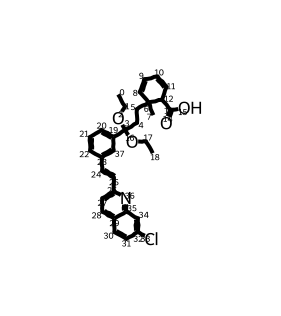 CCOC(CCC1(C)C=CC=CC1C(=O)O)(OCC)c1cccc(/C=C/c2ccc3ccc(Cl)cc3n2)c1